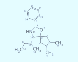 CCCC1(CCC)O[C@@H](c2ccccc2)N[C@H]1C(C)CC